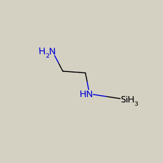 NCCN[SiH3]